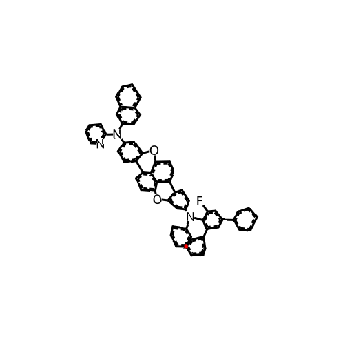 Fc1cc(-c2ccccc2)cc(-c2ccccc2)c1N(c1ccccc1)c1ccc2c(c1)Oc1ccc3c4c(ccc-2c14)Oc1cc(N(c2ccc4ccccc4c2)c2ccccn2)ccc1-3